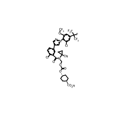 N#CC1(N(COC(=O)O[C@H]2CC[C@H](C(=O)O)CC2)C(=O)c2cc(-c3cnn(-c4c(Cl)cc(C(F)(C(F)(F)F)C(F)(F)F)cc4OC(F)(F)F)c3)ccc2Cl)CC1